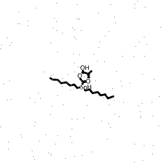 C=C(C)C(=O)O.CCCCCCC[CH2][SnH]([CH2]CCCCCCC)[C](C)=O